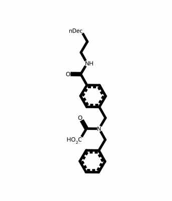 CCCCCCCCCCCCNC(=O)c1ccc(CN(Cc2ccccc2)C(=O)C(=O)O)cc1